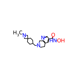 CN1CC2(CCC(CN3CCc4cc(C(=O)NO)cnc4C3)CC2)C1